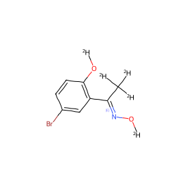 [2H]O/N=C(/c1cc(Br)ccc1O[2H])C([2H])([2H])[2H]